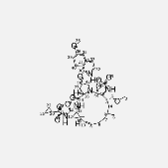 COC[C@@H]1C[C@@H](C)CCC=C[C@@H]2C[C@@]2(C(=O)NS(=O)(=O)C2CC2)NC(=O)[C@@H]2C[C@@H](Oc3nccc4cc(OC)ccc34)CN2C(=O)[C@H]1NC(=O)O